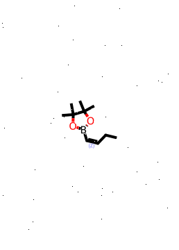 CC/C=C\B1OC(C)(C)C(C)(C)O1